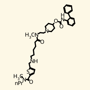 CCCN(C)C(=O)c1ccc(CNCCCCCC(=O)N(C)CCN2CCC(OC(=O)Nc3ccccc3-c3ccccc3)CC2)s1